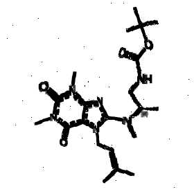 CC(C)=CCn1c(N(C)[C@H](C)CNC(=O)OC(C)(C)C)nc2c1c(=O)n(C)c(=O)n2C